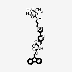 CC(C)(C)OC(=O)NCCCn1cc(-c2ccc(C[C@H](NC(=O)OCC3c4ccccc4-c4ccccc43)C(=O)O)cn2)cn1